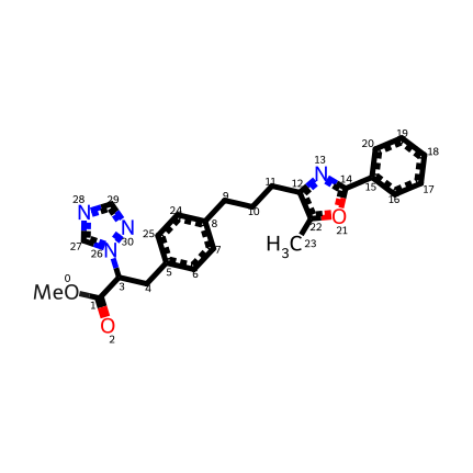 COC(=O)C(Cc1ccc(CCCc2nc(-c3ccccc3)oc2C)cc1)n1cncn1